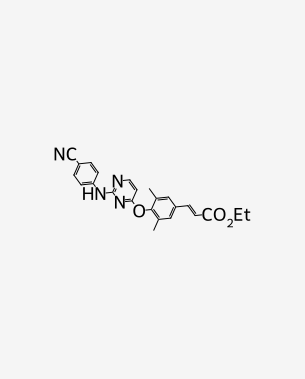 CCOC(=O)/C=C/c1cc(C)c(Oc2ccnc(Nc3ccc(C#N)cc3)n2)c(C)c1